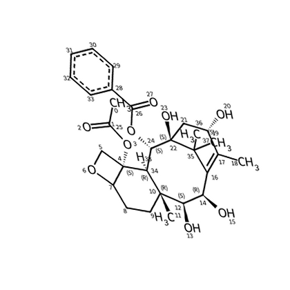 CC(=O)O[C@@]12COC1CC[C@@]1(C)[C@H](O)[C@H](O)C3=C(C)[C@@H](O)C[C@@](O)([C@@H](OC(=O)c4ccccc4)[C@@H]12)C3(C)C